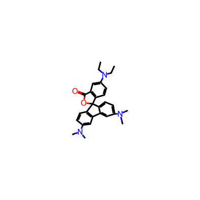 CCN(CC)c1ccc2c(c1)C(=O)OC21c2ccc(N(C)C)cc2-c2cc(N(C)C)ccc21